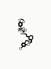 O=C(NCC=C1CCCc2cnn(Cc3ccc(Cl)cc3Cl)c21)NS(=O)(=O)c1ccc2c(c1)OCCO2